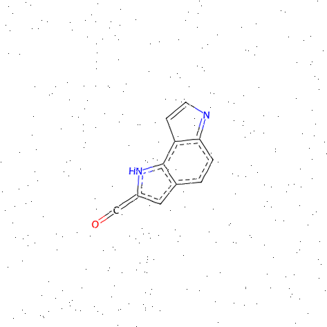 O=C=c1cc2ccc3c(c2[nH]1)C=CN=3